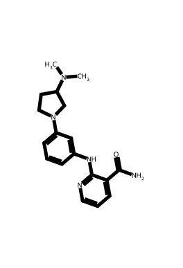 CN(C)C1CCN(c2cccc(Nc3ncccc3C(N)=O)c2)C1